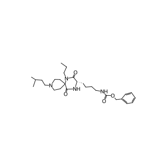 CCCN1C(=O)[C@H](CCCCNC(=O)OCc2ccccc2)NC(=O)C12CCN(CCC(C)C)CC2